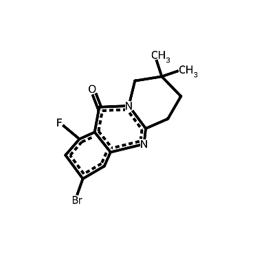 CC1(C)CCc2nc3cc(Br)cc(F)c3c(=O)n2C1